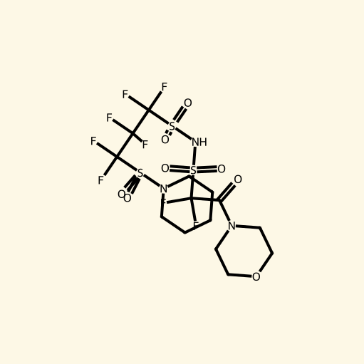 O=C(N1CCOCC1)C(F)(F)S(=O)(=O)NS(=O)(=O)C(F)(F)C(F)(F)C(F)(F)S(=O)(=O)N1CCCCC1